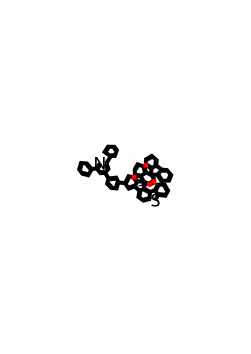 c1ccc(-c2cc(-c3cccc(-c4ccc5c(c4)-c4ccc6sc7ccccc7c6c4C54c5ccccc5C5(c6ccccc6-c6ccccc65)c5ccccc54)c3)cc(-c3ccccc3)n2)cc1